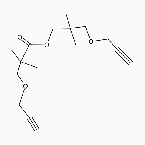 C#CCOCC(C)(C)COC(=O)C(C)(C)COCC#C